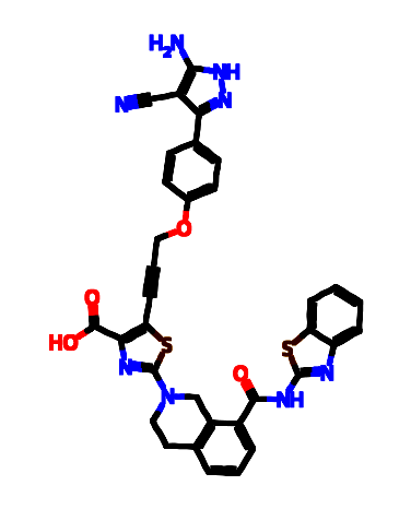 N#Cc1c(-c2ccc(OCC#Cc3sc(N4CCc5cccc(C(=O)Nc6nc7ccccc7s6)c5C4)nc3C(=O)O)cc2)n[nH]c1N